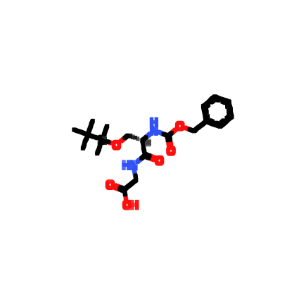 CC(C)(C)[Si](C)(C)OC[C@H](NC(=O)OCc1ccccc1)C(=O)NCC(=O)O